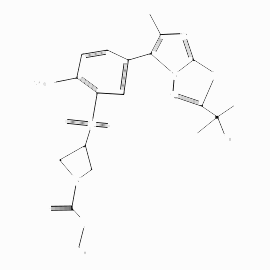 COc1ccc(-c2c(C)nc3sc(C(C)(C)O)nn23)cc1S(=O)(=O)C1CN(C(=O)OC(C)(C)C)C1